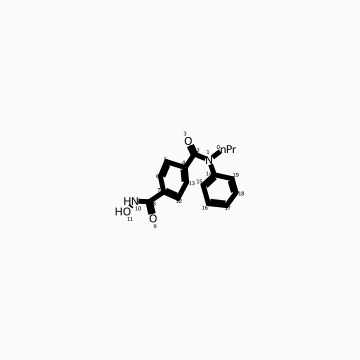 CCCN(C(=O)c1ccc(C(=O)NO)cc1)c1ccccc1